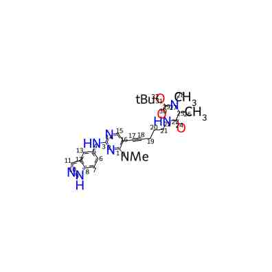 CNc1nc(Nc2ccc3[nH]ncc3c2)ncc1C#CCCCNC(=O)[C@H](C)N(C)C(=O)OC(C)(C)C